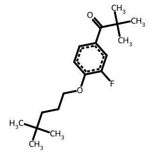 CC(C)(C)CCCOc1ccc(C(=O)C(C)(C)C)cc1F